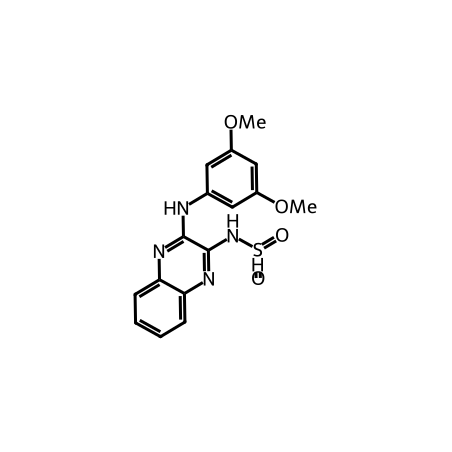 COc1cc(Nc2nc3ccccc3nc2N[SH](=O)=O)cc(OC)c1